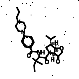 CCCN1CCN(c2ccc(C(=O)NC(C(=O)N3C[C@H](C(C)C)[C@H]4OCC(=O)[C@H]43)C(C)(C)CC)cc2)CC1